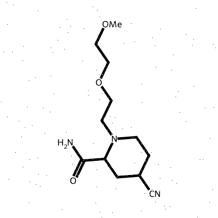 COCCOCCN1CC[C](C#N)CC1C(N)=O